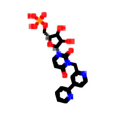 O=c1ccn([C@@H]2O[C@H](COP(=O)(O)O)C(O)C2O)c(=O)n1Cc1cc(-c2ccccn2)ccn1